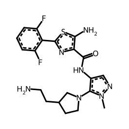 Cn1ncc(NC(=O)c2nc(-c3c(F)cccc3F)sc2N)c1N1CCC(CCN)C1